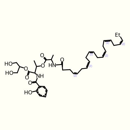 CC/C=C\C/C=C\C/C=C\C/C=C\C/C=C\C/C=C\CCC(=O)NC(C)C(=O)OC(C)C(NC(=O)c1ccccc1O)C(=O)OC(CO)CO